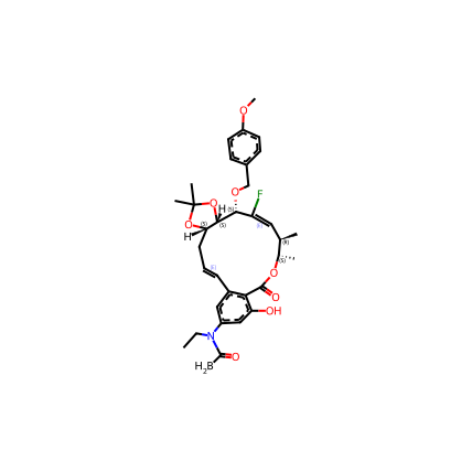 BC(=O)N(CC)c1cc(O)c2c(c1)/C=C/C[C@@H]1OC(C)(C)O[C@@H]1[C@H](OCc1ccc(OC)cc1)/C(F)=C\[C@@H](C)[C@H](C)OC2=O